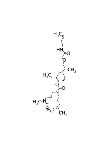 CCc1cc(C(C)COCC(=O)NCCSC)ccc1OC(=O)N(CCCN(C)C)CCCN(C)C